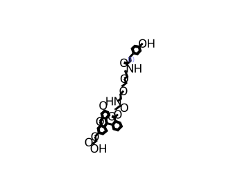 O=C(O)COc1ccc2c(-c3ccccc3C(=O)OCC(=O)NCCOCCOCCNC(=O)/C=C/c3ccc(O)cc3)c3ccc(=O)cc-3oc2c1